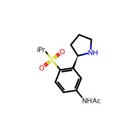 CC(=O)Nc1ccc(S(=O)(=O)C(C)C)c([C@H]2CCCN2)c1